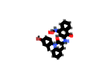 Cc1cc(Br)ccc1NC(=O)[C@@H](Cc1ccccc1)NC1=CC(=NO)c2ccccc2C1=O